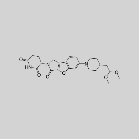 COC(CC1CCN(c2ccc3c4c(oc3c2)C(=O)N(C2CCC(=O)NC2=O)C4)CC1)OC